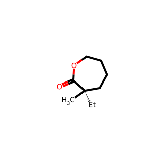 CC[C@@]1(C)CCCCOC1=O